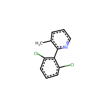 Cc1cccnc1-c1c(Cl)cccc1Cl